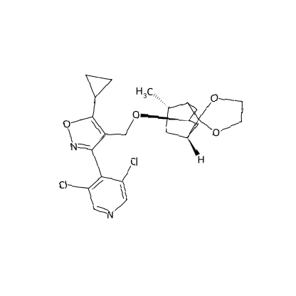 C[C@H]1C[C@@H]2C[C@@H](OCc3c(-c4c(Cl)cncc4Cl)noc3C3CC3)CC1C21OCCO1